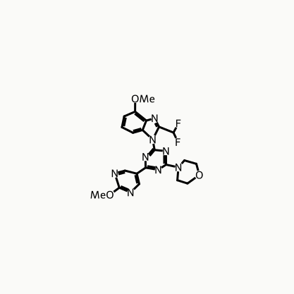 COc1ncc(-c2nc(N3CCOCC3)nc(-n3c(C(F)F)nc4c(OC)cccc43)n2)cn1